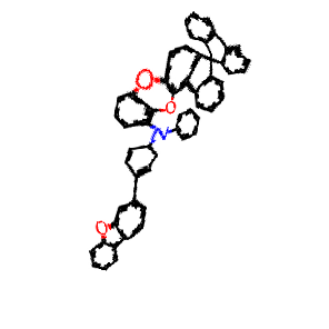 C1=CC(N(c2ccccc2)c2cccc3c2Oc2c(ccc4c2-c2ccccc2C42c4ccccc4-c4ccccc42)O3)CC=C1c1ccc2c(c1)oc1ccccc12